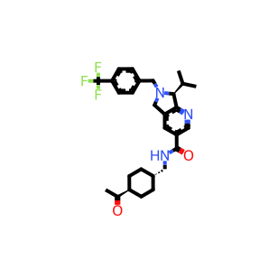 CC(=O)[C@H]1CC[C@H](CNC(=O)c2cnc3c(c2)CN(Cc2ccc(C(F)(F)F)cc2)[C@H]3C(C)C)CC1